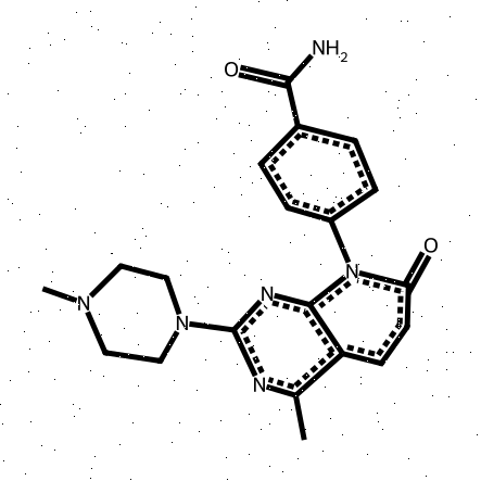 Cc1nc(N2CCN(C)CC2)nc2c1ccc(=O)n2-c1ccc(C(N)=O)cc1